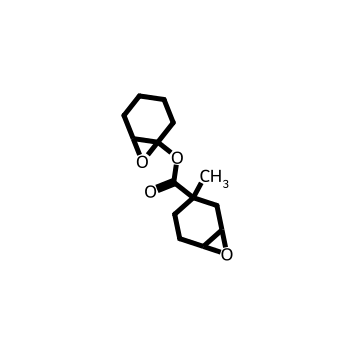 CC1(C(=O)OC23CCCCC2O3)CCC2OC2C1